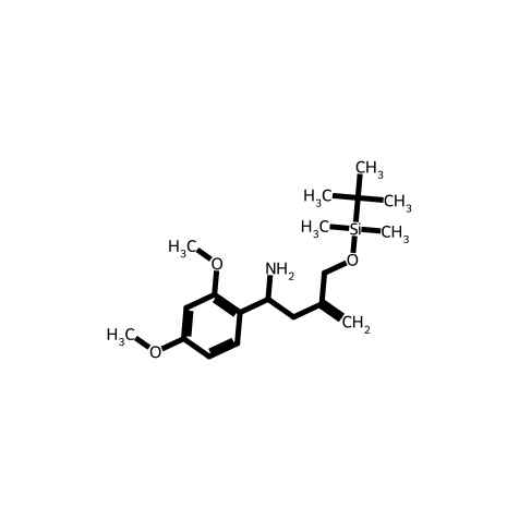 C=C(CO[Si](C)(C)C(C)(C)C)CC(N)c1ccc(OC)cc1OC